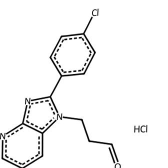 Cl.O=CCCn1c(-c2ccc(Cl)cc2)nc2ncccc21